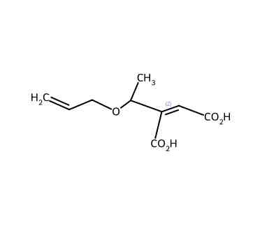 C=CCOC(C)/C(=C/C(=O)O)C(=O)O